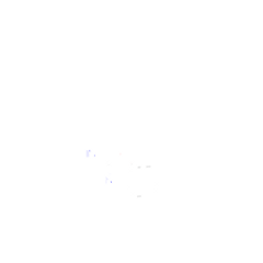 CCC1CCC(Nc2nc3ccc(F)cc3o2)CC1